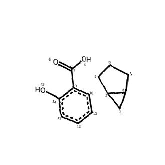 C1CC2CC2C1.O=C(O)c1ccccc1O